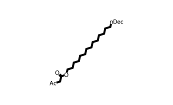 CCCCCCCCCCCCCCCCCCCCCCCCOC(=O)CC(C)=O